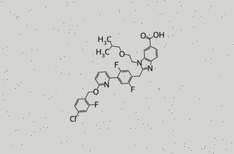 CC(C)COCCn1c(Cc2cc(F)c(-c3cccc(OCc4ccc(Cl)cc4F)n3)cc2F)nc2ccc(C(=O)O)cc21